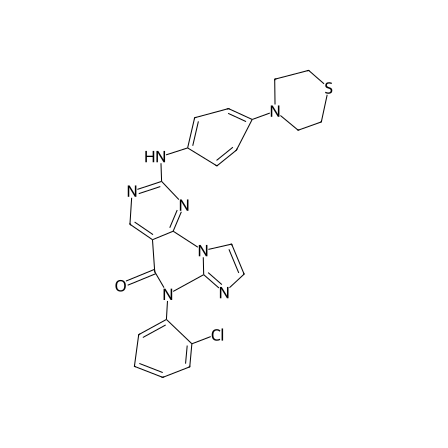 O=c1c2cnc(Nc3ccc(N4CCSCC4)cc3)nc2n2ccnc2n1-c1ccccc1Cl